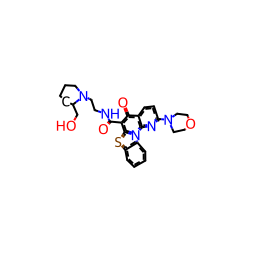 O=C(NCCN1CCCCC1CO)c1c(=O)c2ccc(N3CCOCC3)nc2n2c1sc1ccccc12